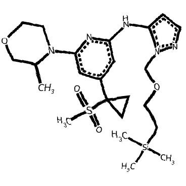 CC1COCCN1c1cc(C2(S(C)(=O)=O)CC2)cc(Nc2ccnn2COCC[Si](C)(C)C)n1